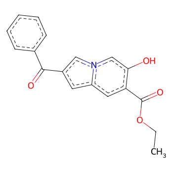 CCOC(=O)c1cc2cc(C(=O)c3ccccc3)cn2cc1O